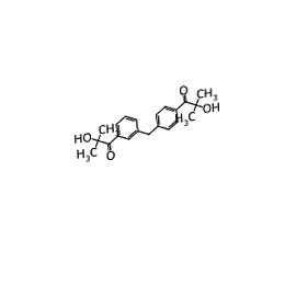 CC(C)(O)C(=O)c1ccc(Cc2cccc(C(=O)C(C)(C)O)c2)cc1